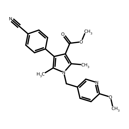 COC(=O)c1c(-c2ccc(C#N)cc2)c(C)n(Cc2ccc(OC)nc2)c1C